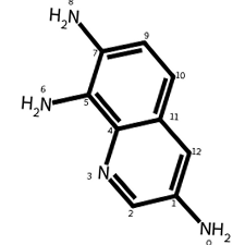 Nc1cnc2c(N)c(N)ccc2c1